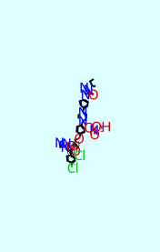 CCC(C)n1ncn(-c2ccc(N3CCN(c4ccc(OC[C@H]5CO[C@](Cn6cncn6)(c6ccc(Cl)cc6Cl)O5)cc4)CC3)cc2)c1=O.O=[N+]([O-])O